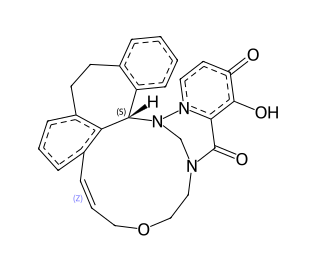 O=C1c2c(O)c(=O)ccn2N2CN1CCOC/C=C\c1cccc3c1[C@@H]2c1ccccc1CC3